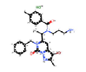 Cc1ccc(C(=O)N(CCCN)C(c2cc3c(Br)c(C)nn3c(=O)n2Cc2ccccc2)C(C)C)cc1.Cl